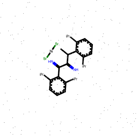 CC(C)c1cccc(C(C)C)c1C(=N)C(=N)C(C)c1c(C(C)C)cccc1C(C)C.[Br][Ni][Br]